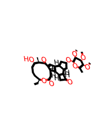 CC[C@H]1CCC[C@H](O)[C@@H](C)C(=O)C2=C[C@H]3[C@@H]4C[C@H](O[C@@H]5OC(C)[C@H](OC)C(OC)C5OC)C[C@H]4[C@@H]4C(=O)C[C@@H]4[C@H]3[C@@H]2CC(=O)O1